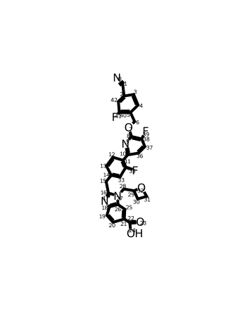 N#Cc1ccc(COc2nc(-c3ccc(Cc4nc5ccc(C(=O)O)cc5n4CC4CCO4)cc3F)ccc2F)c(F)c1